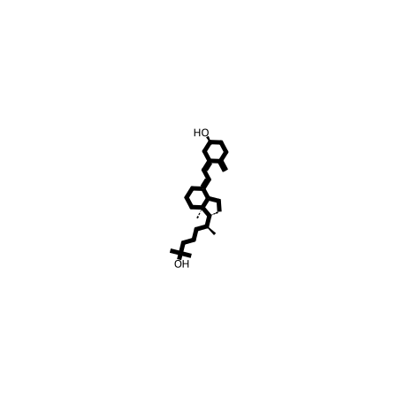 C=C1CC[C@H](O)C/C1=C/C=C1\CCC[C@@]2(C)C1CC[C@@H]2[C@@H](C)CCCC(C)(C)O